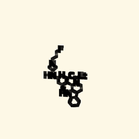 C=C(CC)N1CCc2c([nH]c3ccccc23)[C@H]1c1ccc(NC2CN(CCCF)C2)cc1F